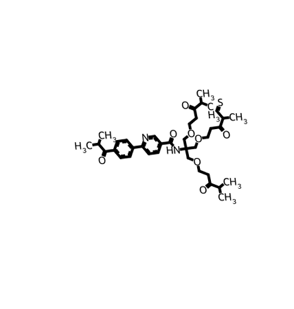 CC(C)C(=O)CCOCC(COCCC(=O)C(C)C)(COCCC(=O)C(C)C=S)NC(=O)c1ccc(-c2ccc(C(=O)C(C)C)cc2)nc1